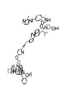 Cc1nccn1-c1ccc([C@H](C)NC(=O)[C@@H]2C[C@@H](O)CN2C(=O)[C@H](c2cc(OCC#Cc3ccc(O[C@H]4C[C@H](Oc5cc(N6C7CCC6CN(c6cc(-c8ccccc8O)nnc6N)C7)ccn5)C4)cn3)no2)C(C)C)cc1